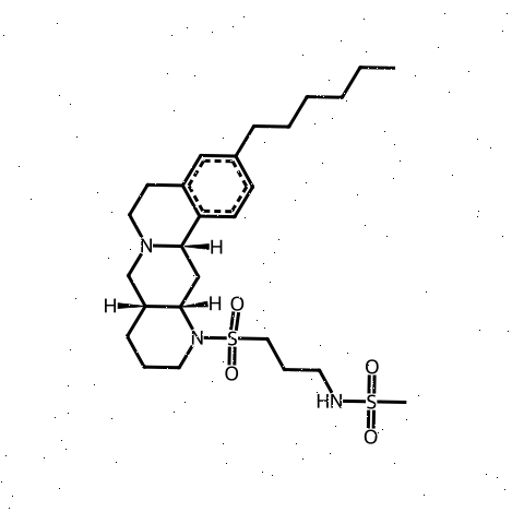 CCCCCCc1ccc2c(c1)CCN1C[C@H]3CCCN(S(=O)(=O)CCCNS(C)(=O)=O)[C@H]3C[C@@H]21